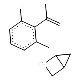 C1NC2CC12.C=C(C)c1c(C)cccc1CC